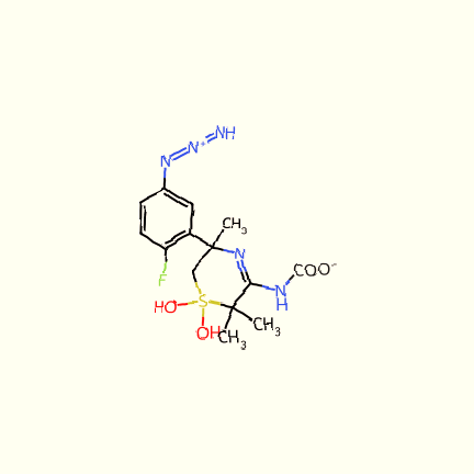 CC1(c2cc(N=[N+]=N)ccc2F)CS(O)(O)C(C)(C)C(NC(=O)[O-])=N1